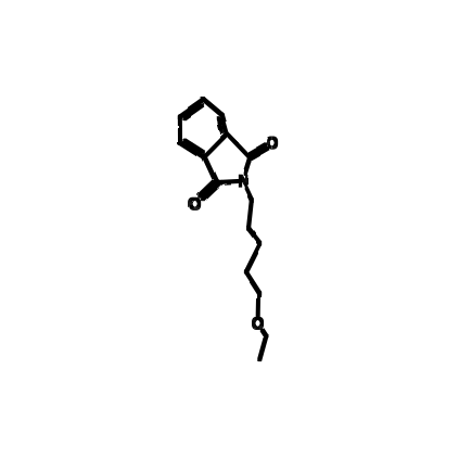 CCOCCCCCN1C(=O)c2ccccc2C1=O